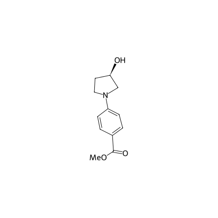 COC(=O)c1ccc(N2CC[C@@H](O)C2)cc1